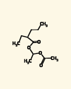 CCCC(CC)C(=O)OC(C)OC(C)=O